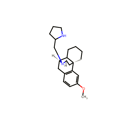 COc1ccc2c(c1)[C@]13CCCC[C@@H]1[C@H](C2)N(CC1CCCN1)CC3